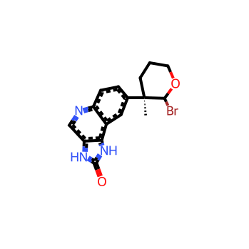 C[C@]1(c2ccc3ncc4[nH]c(=O)[nH]c4c3c2)CCCOC1Br